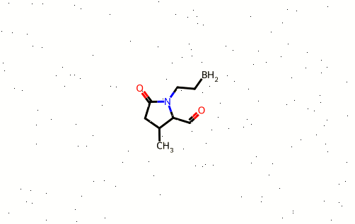 BCCN1C(=O)CC(C)C1C=O